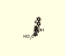 O=C(O)c1cnn(-c2nc(O)c3c(cnn3Cc3ccc(-c4ccccc4)c(F)c3)n2)c1